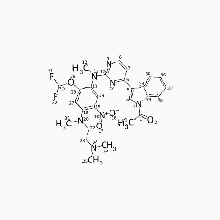 CC(=O)n1cc(-c2ccnc(N(C)c3cc([N+](=O)[O-])c(N(C)CCN(C)C)cc3OC(F)F)n2)c2ccccc21